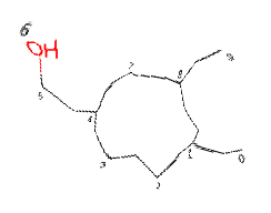 CC1CCC(CO)CC1C